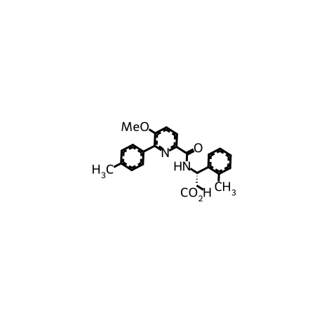 COc1ccc(C(=O)N[C@@H](CC(=O)O)c2ccccc2C)nc1-c1ccc(C)cc1